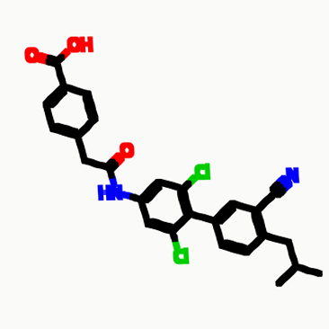 CC(C)Cc1ccc(-c2c(Cl)cc(NC(=O)Cc3ccc(C(=O)O)cc3)cc2Cl)cc1C#N